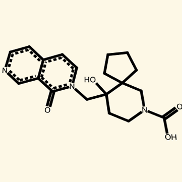 O=C(O)N1CCC(O)(Cn2ccc3ccncc3c2=O)C2(CCCC2)C1